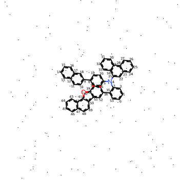 c1ccc(N(c2ccc(-c3ccc4ccccc4c3)cc2)c2cc3ccccc3c3ccccc23)c(-c2ccc3oc4c5ccccc5ccc4c3c2)c1